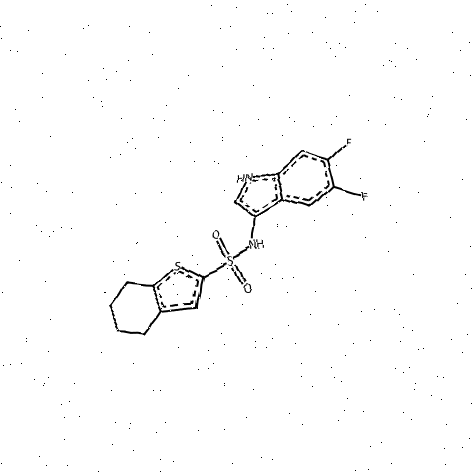 O=S(=O)(Nc1c[nH]c2cc(F)c(F)cc12)c1cc2c(s1)CCCC2